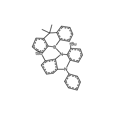 CC(C)(C)c1cccc2c1N(B1c3ccccc3C(C)(C)c3ccccc31)c1c(cccc1C(C)(C)C)N2c1ccccc1